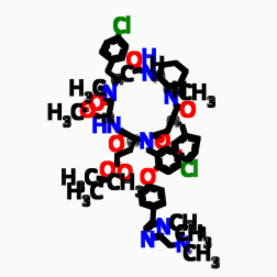 COC[C@@H]1NC(=O)[C@H](CCC(=O)OC(C)(C)C)N(Cc2ccc(Cl)cc2Oc2ccc(-c3cnc(CN(C)C)n3C)cc2)C(=O)C[C@@H](Cc2ccccc2)C(=O)N(C)[C@H]2CCCC[C@@H]2NC(=O)C[C@H](Cc2ccc(Cl)cc2)N(C)C1=O